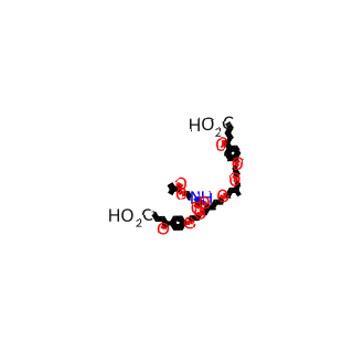 C=C(C)C(=O)OCCNC(=O)OC(CCCOCCC(C)COCCOc1ccc(C(=O)CCCC(=O)O)cc1)COCCOc1ccc(C(=O)CCCC(=O)O)cc1